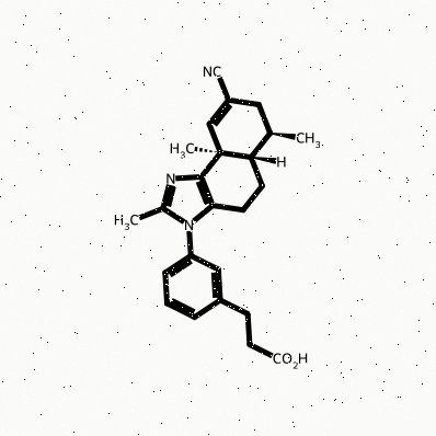 Cc1nc2c(n1-c1cccc(CCC(=O)O)c1)CC[C@H]1[C@H](C)CC(C#N)=C[C@]21C